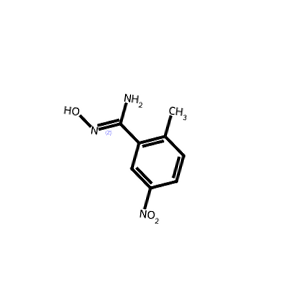 Cc1ccc([N+](=O)[O-])cc1/C(N)=N/O